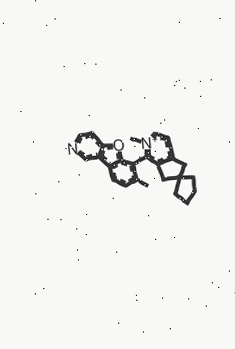 Cc1ccc2c(oc3ccncc32)c1-c1c2c(cc[n+]1C)CC1(CCCC1)C2